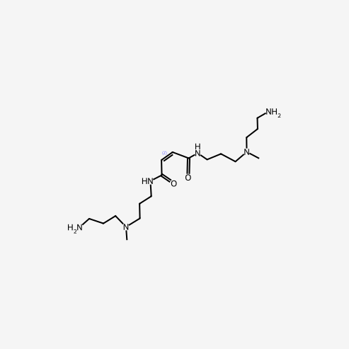 CN(CCCN)CCCNC(=O)/C=C\C(=O)NCCCN(C)CCCN